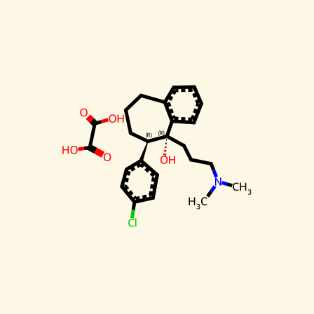 CN(C)CCC[C@]1(O)c2ccccc2CCC[C@@H]1c1ccc(Cl)cc1.O=C(O)C(=O)O